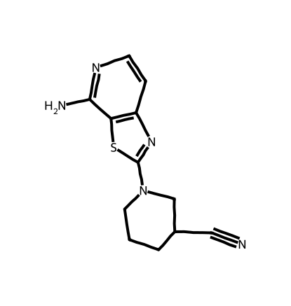 N#CC1CCCN(c2nc3ccnc(N)c3s2)C1